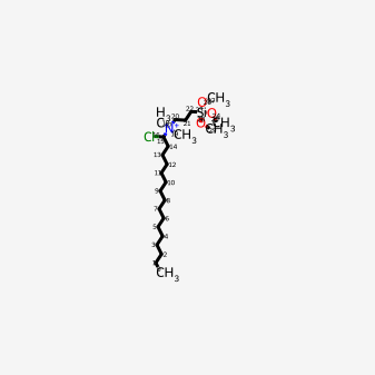 CCCCCCCCCCCCCCCC(Cl)[N+](C)(C)CCC[Si](OC)(OC)OC